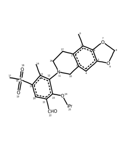 Cc1c2c(cc3c1OCO3)CN(c1c(C)c(S(C)(=O)=O)cc(C=O)c1OC(C)C)CC2